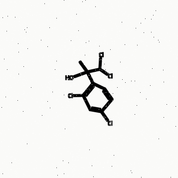 CC(O)(c1ccc(Cl)cc1Cl)C(Cl)Cl